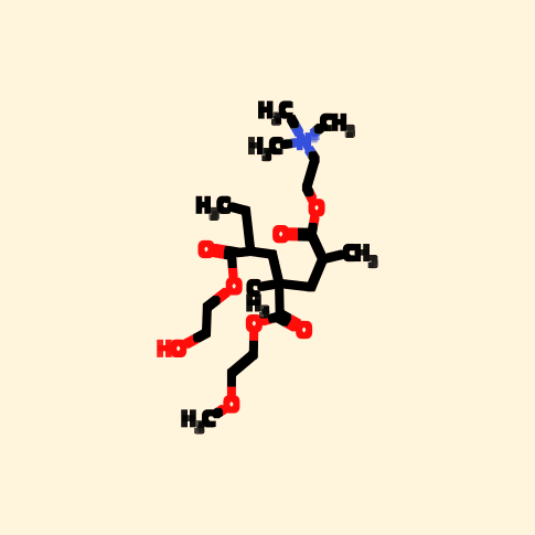 CCC(CC(C)(CC(C)C(=O)OCC[N+](C)(C)C)C(=O)OCCOC)C(=O)OCCO